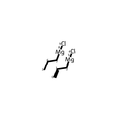 C=C[CH2][Mg][Cl].CC[CH2][Mg][Cl]